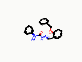 O=C(N/N=C/c1ccccc1OCc1ccccc1)Nc1ccccc1